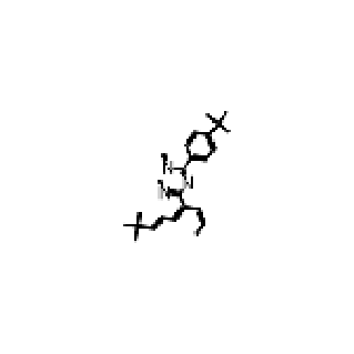 C=N\C(=N/C(=N\C)C(/C=C\C)=C\C=C\C(C)(C)C)c1ccc(C(C)(C)C)cc1